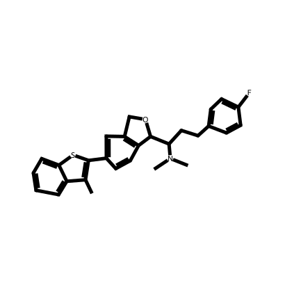 Cc1c(-c2ccc3c(c2)COC3C(CCc2ccc(F)cc2)N(C)C)sc2ccccc12